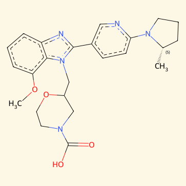 COc1cccc2nc(-c3ccc(N4CCC[C@@H]4C)nc3)n(CC3CN(C(=O)O)CCO3)c12